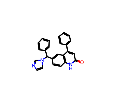 O=c1cc(-c2ccccc2)c2cc(C(c3ccccc3)n3ccnc3)ccc2[nH]1